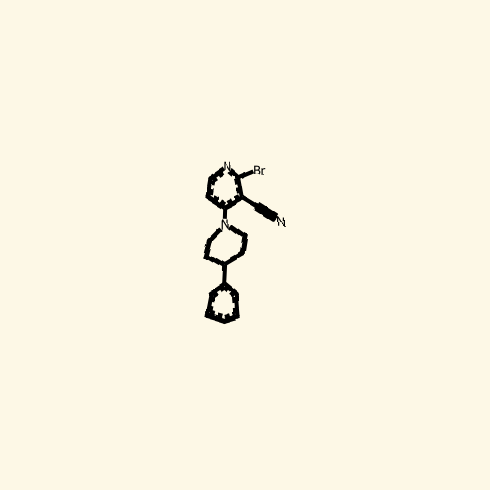 N#Cc1c(N2CCC(c3ccccc3)CC2)ccnc1Br